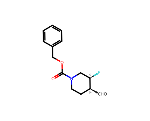 O=C[C@H]1CCN(C(=O)OCc2ccccc2)C[C@H]1F